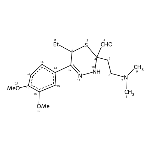 CCC1SC(C=O)(CCN(C)C)NN=C1c1ccc(OC)c(OC)c1